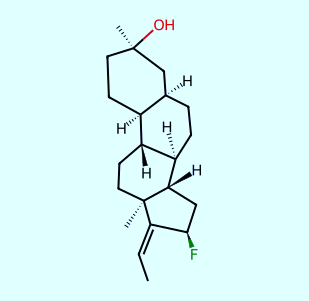 C/C=C1\[C@H](F)C[C@H]2[C@@H]3CC[C@@H]4C[C@](C)(O)CC[C@@H]4[C@H]3CC[C@]12C